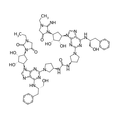 CCN1CC(=O)N([C@H]2C[C@@H](n3cnc4c(N[C@H](CO)Cc5ccccc5)nc(N5CC[C@@H](NC(=O)N[C@@H]6CCN(c7nc(N[C@H](CO)Cc8ccccc8)c8ncn([C@@H]9C[C@H](N%10C(=O)CN(CC)C%10=O)[C@@H](O)[C@H]9O)c8n7)C6)C5)nc43)[C@H](O)[C@@H]2O)C1=N